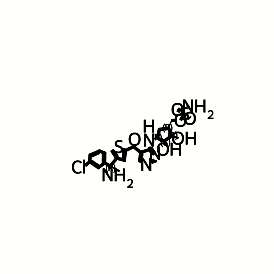 C[C@@](N)(c1cccc(Cl)c1)c1csc(C(=O)c2cncnc2N[C@@H]2C[C@H](COS(N)(=O)=O)[C@@H](O)[C@H]2O)c1